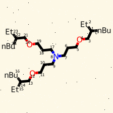 CCCCC(CC)COCCCN(CCCOCC(CC)CCCC)CCCOCC(CC)CCCC